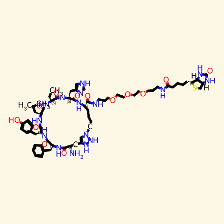 CC[C@@H]1NC(=O)[C@H](CC(C)C)NC(=O)[C@H](Cc2ccc(O)cc2)NC(=O)[C@H](Cc2ccccc2)NC(=O)[C@@H](N)CC2=CN(CCCC[C@@H](C(=O)NCCCOCCOCCOCCCNC(=O)CCCC[C@H]3SC[C@H]4NC(=O)N[C@H]43)NC(=O)[C@H](Cc3c[nH]cn3)NC1=O)NN2